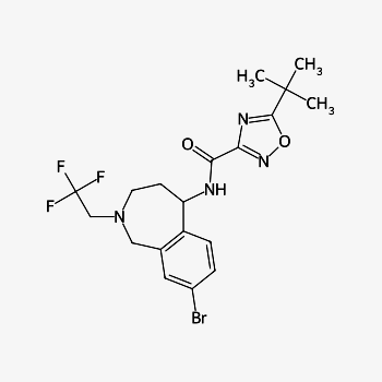 CC(C)(C)c1nc(C(=O)NC2CCN(CC(F)(F)F)Cc3cc(Br)ccc32)no1